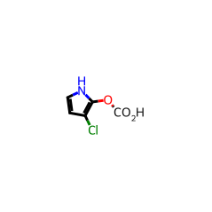 O=C(O)Oc1[nH]ccc1Cl